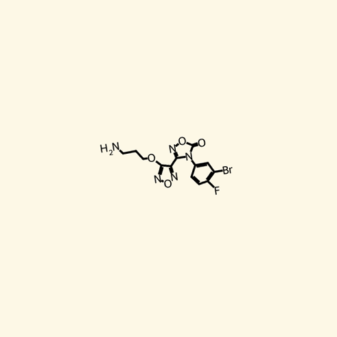 NCCCOc1nonc1-c1noc(=O)n1-c1ccc(F)c(Br)c1